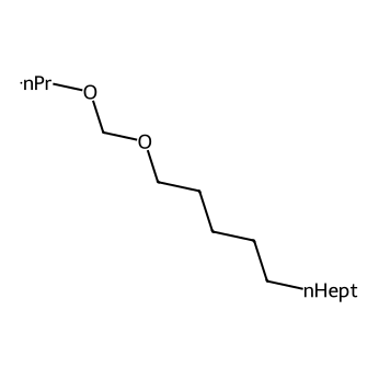 CC[CH]OCOCCCCCCCCCCCC